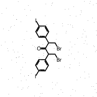 O=C(C(CBr)c1ccc(I)cc1)C(CBr)c1ccc(I)cc1